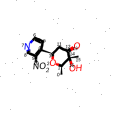 C[C@H]1O[C@@H](c2ccncc2[N+](=O)[O-])CC(=O)[C@]1(C)O